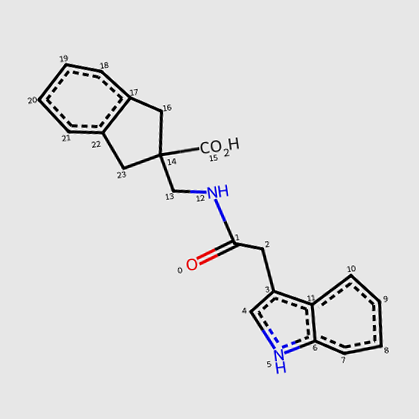 O=C(Cc1c[nH]c2ccccc12)NCC1(C(=O)O)Cc2ccccc2C1